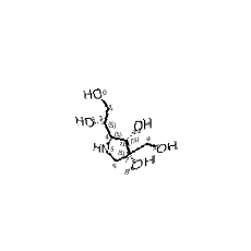 OC[C@@H](O)[C@@H]1NC[C@](O)(CO)[C@H]1O